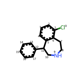 Clc1cccc2c1CCNCC2c1ccccc1